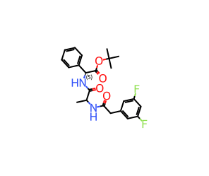 CC(NC(=O)Cc1cc(F)cc(F)c1)C(=O)N[C@H](C(=O)OC(C)(C)C)c1ccccc1